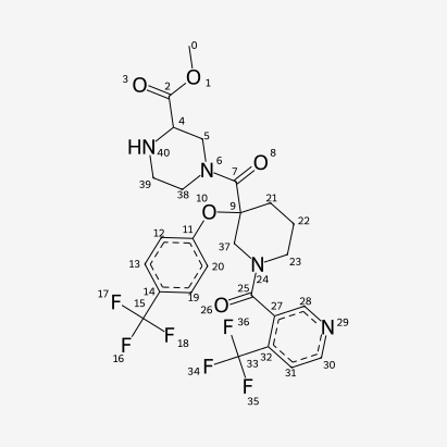 COC(=O)C1CN(C(=O)C2(Oc3ccc(C(F)(F)F)cc3)CCCN(C(=O)c3cnccc3C(F)(F)F)C2)CCN1